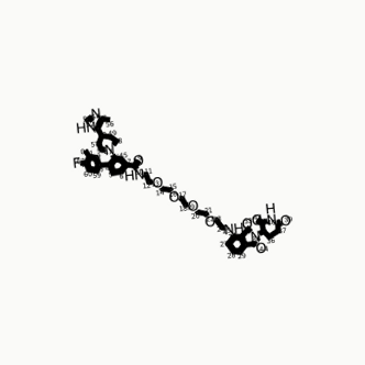 Cc1cc(-c2ccc(C(=O)NCCOCCOCCOCCOCCNc3cccc4c3C(=O)N(C3CCC(=O)NC3=O)C4=O)cc2N2CCC(c3[nH]cnc3C)CC2)ccc1F